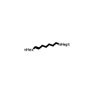 [CH2]CCCCC/C=C/CCCCCCCCCCC[CH2]